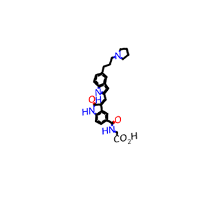 O=C(O)CNC(=O)c1ccc2c(c1)C(=Cc1cc3cc(CCCN4CCCC4)ccc3[nH]1)C(=O)N2